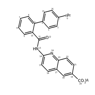 CCCc1ccc(-c2ccccc2C(=O)Nc2ccc3cc(C(=O)O)ccc3n2)cc1